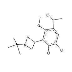 COc1c(C(C)Cl)cc(Cl)c(Cl)c1C1CN(C(C)(C)C)C1